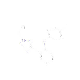 CCn1nnc(-c2ccccc2Nc2ccc(F)cc2)n1